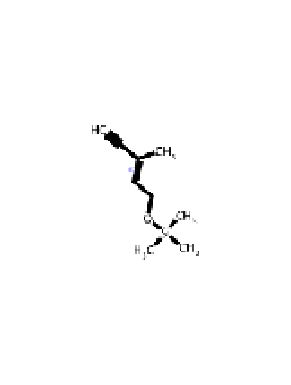 C#C/C(C)=C/CO[Si](C)(C)C